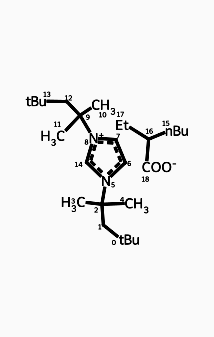 CC(C)(C)CC(C)(C)n1cc[n+](C(C)(C)CC(C)(C)C)c1.CCCCC(CC)C(=O)[O-]